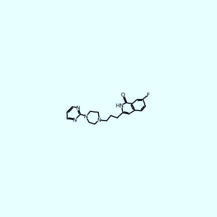 O=c1[nH]c(CCCN2CCN(c3ncccn3)CC2)cc2ccc(F)cc12